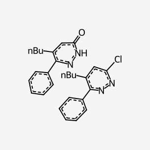 CCCCc1cc(=O)[nH]nc1-c1ccccc1.CCCCc1cc(Cl)nnc1-c1ccccc1